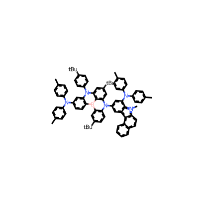 Cc1ccc(N(c2ccc(C)cc2)c2ccc3c(c2)N(c2ccc(C(C)(C)C)cc2)c2cc(C(C)(C)C)cc4c2B3c2cc(C(C)(C)C)ccc2N4c2cc(N(c3ccc(C)cc3)c3ccc(C)cc3)c3c(c2)c2c4ccccc4ccc2n3C)cc1